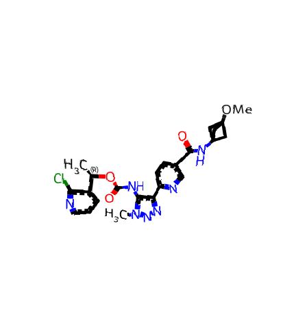 COC12CC(NC(=O)c3ccc(-c4nnn(C)c4NC(=O)O[C@H](C)c4cccnc4Cl)nc3)(C1)C2